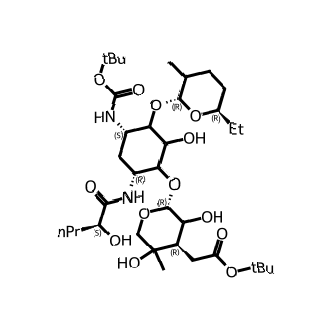 CCC[C@H](O)C(=O)N[C@@H]1C[C@H](NC(=O)OC(C)(C)C)C(O[C@H]2O[C@H](CC)CCC2C)C(O)C1O[C@H]1OCC(C)(O)[C@H](CC(=O)OC(C)(C)C)C1O